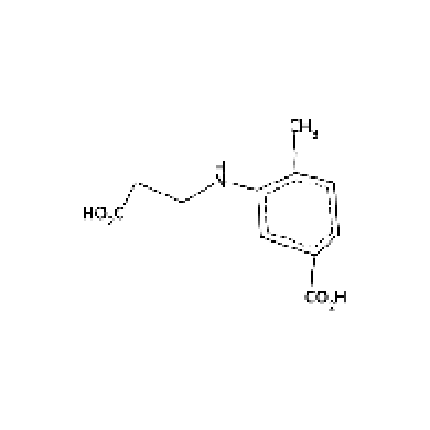 Cc1ccc(C(=O)O)cc1NCCC(=O)O